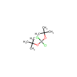 CC(C)(C)O[Si](Cl)(Cl)OC(C)(C)C